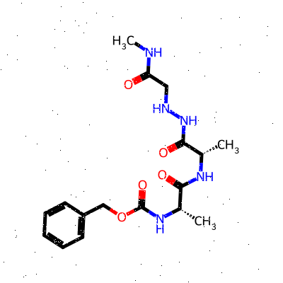 CNC(=O)CNNC(=O)[C@H](C)NC(=O)[C@H](C)NC(=O)OCc1ccccc1